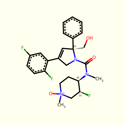 CN(C(=O)N1CC(c2cc(F)ccc2F)=C[C@@]1(CO)c1ccccc1)[C@@H]1CC[N+](C)([O-])C[C@@H]1F